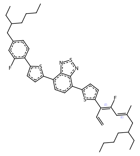 C=C/C(=C(F)\C=C(/C)CC(CC)CCCC)c1ccc(-c2ccc(-c3ccc(-c4ccc(CC(CC)CCCC)cc4F)s3)c3nsnc23)s1